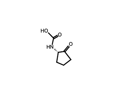 O=C(O)N[C@H]1CCCC1=O